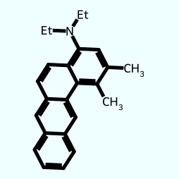 CCN(CC)c1cc(C)c(C)c2c1ccc1cc3ccccc3cc12